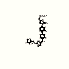 CC(=O)NC[C@H]1CN(c2ccc(-c3ccc(Cc4csc(NCC5CCCO5)n4)cc3)c(F)c2)C(=O)O1